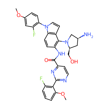 COc1ccc(-n2ccc3c(N4C[C@@H](N)C[C@H]4CO)c(NC(=O)c4ccnc(-c5c(F)cccc5OC)n4)ccc32)c(F)c1